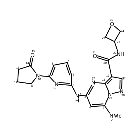 CNc1cc(Nc2cccc(N3CCCC3=O)n2)nc2c(C(=O)NC3COC3)cnn12